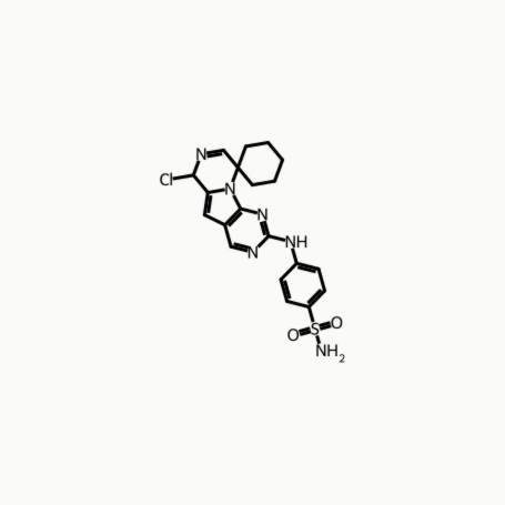 NS(=O)(=O)c1ccc(Nc2ncc3cc4n(c3n2)C2(C=NC4Cl)CCCCC2)cc1